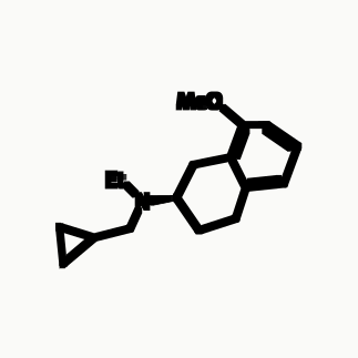 CCN(CC1CC1)[C@@H]1CCc2cccc(OC)c2C1